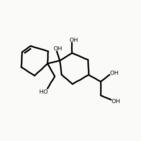 OCC(O)C1CCC(O)(C2(CO)CC=CCC2)C(O)C1